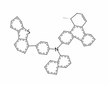 C[C@@H]1CC=Cc2c1c1ccc(N(c3ccc(-c4cccc5c4sc4ccccc45)cc3)c3cccc4ccccc34)cc1c1ccccc21